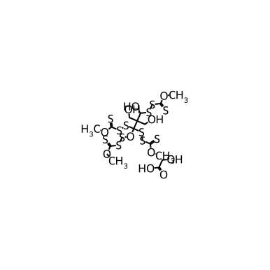 COC(=S)SSOC(SSC(=S)OC)(SSC(=S)OC)C(CO)(CO)C(O)SSC(=S)OC.O=C(O)CO